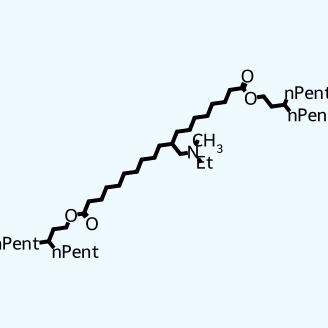 CCCCCC(CCCCC)CCOC(=O)CCCCCCCCCC(CCCCCCCC(=O)OCCC(CCCCC)CCCCC)CN(C)CC